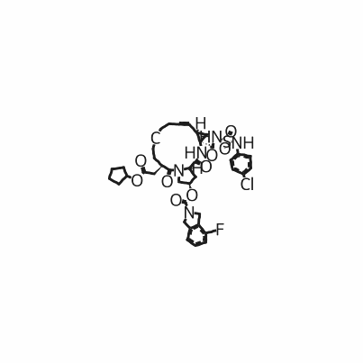 O=C(C[C@H]1CCCCC/C=C\[C@@H]2C[C@@]2(C(=O)NS(=O)(=O)Nc2ccc(Cl)cc2)NC(=O)[C@@H]2C[C@@H](OC(=O)N3Cc4cccc(F)c4C3)CN2C1=O)OC1CCCC1